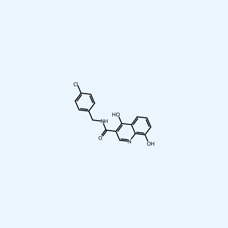 O=C(NCc1ccc(Cl)cc1)c1cnc2c(O)cccc2c1O